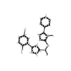 CC(Sc1nnc(-c2ccncc2)n1C)c1noc(-c2cc(Cl)ccc2F)n1